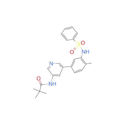 Cc1ccc(-c2cncc(NC(=O)C(C)(C)C)c2)cc1NS(=O)(=O)c1ccccc1